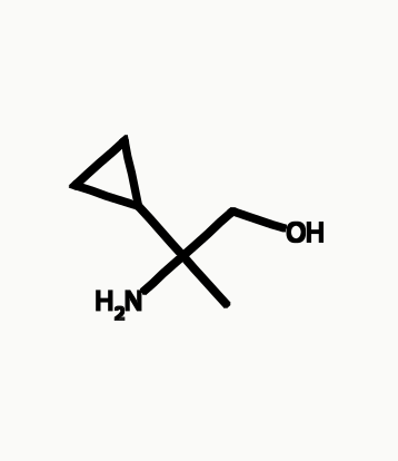 CC(N)(CO)C1CC1